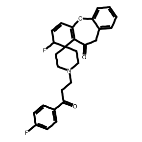 O=C1Cc2ccccc2OC2=C1C1(CCN(CCC(=O)c3ccc(F)cc3)CC1)C(F)C=C2